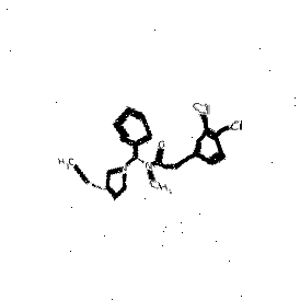 CC[C@H]1CCN([C@H](c2ccccc2)N(C)C(=O)Cc2ccc(Cl)c(Cl)c2)C1